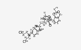 CCC(=O)Oc1c(F)cccc1NC(=O)[C@H](CCc1nc2cc(N(CCCl)CCCl)ccc2n1C)NC(C)=O